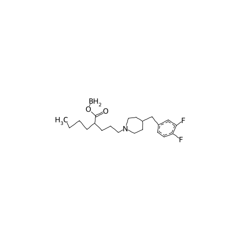 BOC(=O)C(CCCC)CCCN1CCC(Cc2ccc(F)c(F)c2)CC1